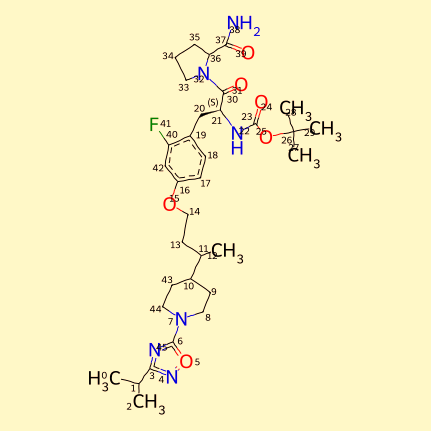 CC(C)c1noc(N2CCC(C(C)CCOc3ccc(C[C@H](NC(=O)OC(C)(C)C)C(=O)N4CCCC4C(N)=O)c(F)c3)CC2)n1